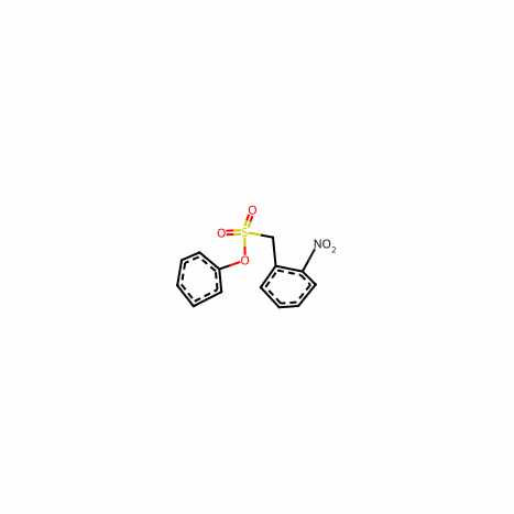 O=[N+]([O-])c1ccccc1CS(=O)(=O)Oc1ccccc1